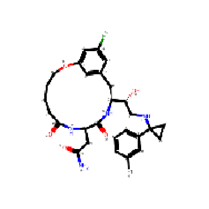 CCc1cccc(C2(NC[C@@H](O)[C@@H]3Cc4cc(F)cc(c4)OCCCCC(=O)NC(CC(N)=O)C(=O)N3)CC2)c1